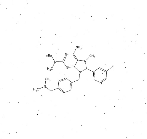 CCCCN(C)c1nc(N)c2c(n1)N(Cc1ccc(CN(C)C)cc1)C(c1cncc(F)c1)N2C